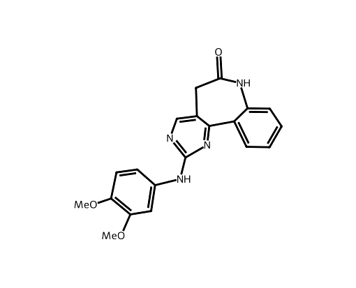 COc1ccc(Nc2ncc3c(n2)-c2ccccc2NC(=O)C3)cc1OC